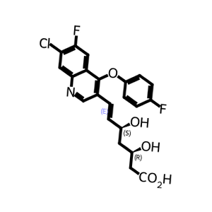 O=C(O)C[C@H](O)C[C@H](O)/C=C/c1cnc2cc(Cl)c(F)cc2c1Oc1ccc(F)cc1